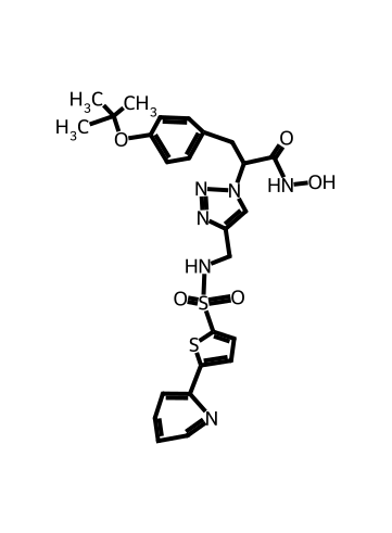 CC(C)(C)Oc1ccc(CC(C(=O)NO)n2cc(CNS(=O)(=O)c3ccc(-c4ccccn4)s3)nn2)cc1